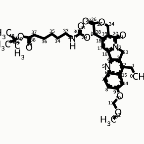 CCc1c2c(nc3ccc(OCOC)cc13)-c1cc3c(c(=O)n1C2)COC(=O)[C@H]3OC(=O)NCCCCCC(=O)OC(C)(C)C